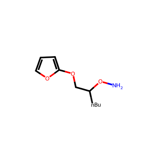 CCCCC(COc1ccco1)ON